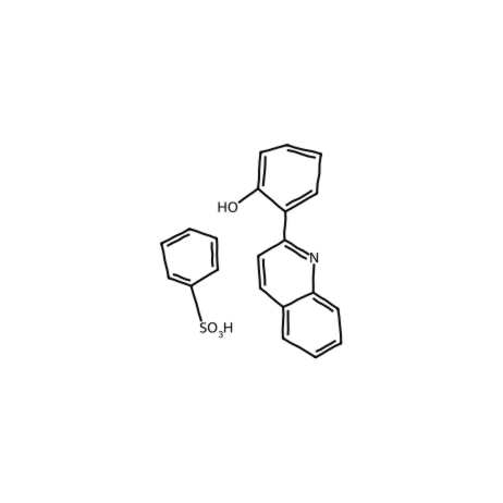 O=S(=O)(O)c1ccccc1.Oc1ccccc1-c1ccc2ccccc2n1